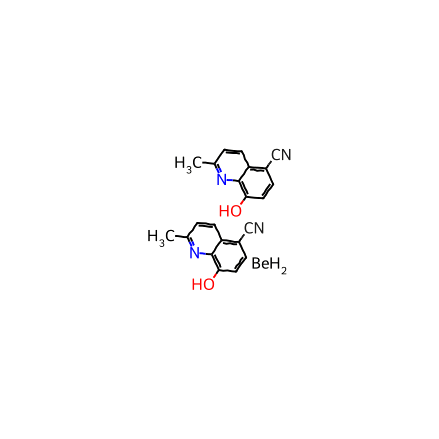 Cc1ccc2c(C#N)ccc(O)c2n1.Cc1ccc2c(C#N)ccc(O)c2n1.[BeH2]